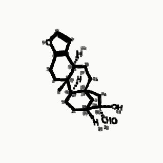 C[C@@]12CCc3occc3[C@H]1CC[C@@]13C[C@@H](CC[C@H]12)[C@@](O)(C=O)C3